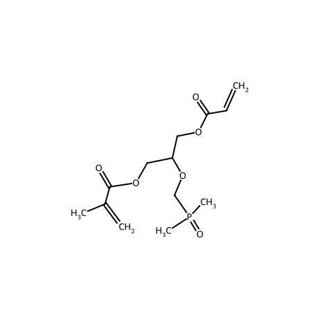 C=CC(=O)OCC(COC(=O)C(=C)C)OCP(C)(C)=O